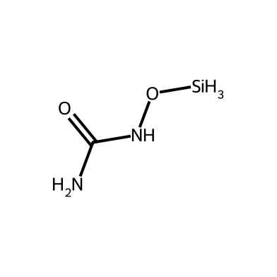 NC(=O)NO[SiH3]